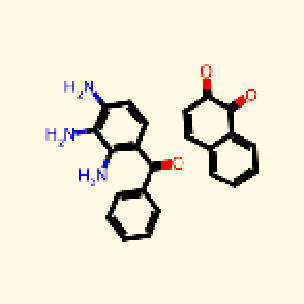 Nc1ccc(C(=O)c2ccccc2)c(N)c1N.O=C1C=Cc2ccccc2C1=O